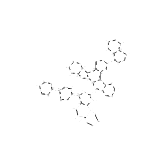 CC12C=CC=CC1c1nc(-n3c4ccccc4c4c5cc(-c6cccc7ccccc67)ccc5c5c6ccccc6oc5c43)nc(-c3ccc(-c4ccccc4)cc3)c1C=C2